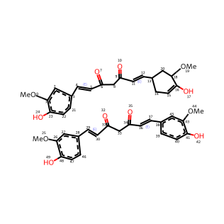 COc1cc(/C=C/C(=O)CC(=O)/C=C/C2CC=C(O)C(OC)C2)ccc1O.COc1cc(/C=C/C(=O)CC(=O)/C=C/c2ccc(O)c(OC)c2)ccc1O